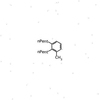 CCCCCc1cc[c]c(C)c1CCCCC